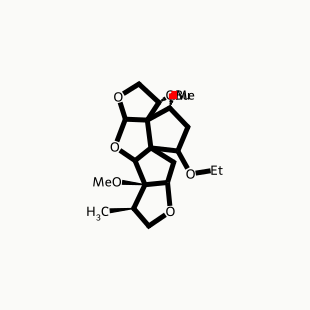 CCOC1C[C@@H](C(C)(C)C)C23C(OC[C@@H]2OC)OC2C13CC1OC[C@@H](C)[C@@]12OC